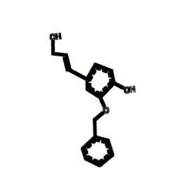 OCC=Cc1ccc(O)c(OCc2ccccc2)c1